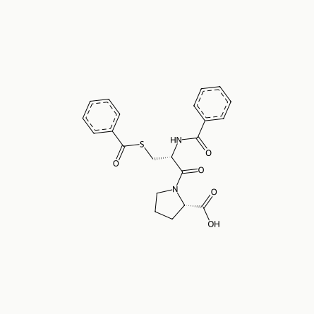 O=C(N[C@@H](CSC(=O)c1ccccc1)C(=O)N1CCC[C@H]1C(=O)O)c1ccccc1